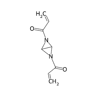 C=CC(=O)N1C2C1N2C(=O)C=C